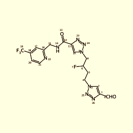 O=Cc1cn(CCC(F)Cn2cc(C(=O)NCc3cc(C(F)(F)F)ccn3)nn2)nn1